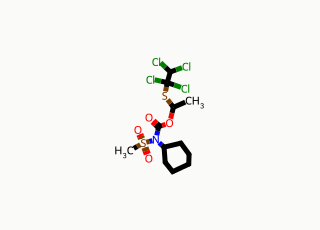 CC(OC(=O)N(C1CCCCC1)S(C)(=O)=O)SC(Cl)(Cl)C(Cl)Cl